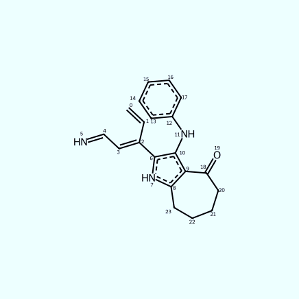 C=C/C(=C\C=N)c1[nH]c2c(c1Nc1ccccc1)C(=O)CCCC2